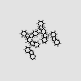 c1ccc2c(c1)oc1c(-n3c4ccccc4c4c5c6cc7c8c9c%10ccccc%10n(-c%10cccc%11c%10oc%10ccccc%10%11)c9cc9c%10ccccc%10n(c7cc6n6c7ccccc7c(cc43)c56)c98)cccc12